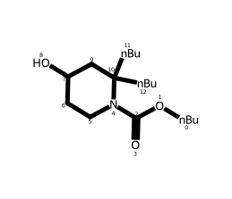 CCCCOC(=O)N1CCC(O)CC1(CCCC)CCCC